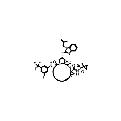 CC(C)Cn1c(O[C@@H]2C[C@H]3C(=O)N[C@]4(C(=O)NS(=O)(=O)C5(C)CC5)C[C@H]4/C=C\CCCCC[C@H](Nc4cc(F)cc(C(F)(F)F)c4)C(=O)N3C2)nc2ccccc21